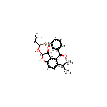 CCC(Br)OC1Oc2ccc(C(C)C)c(C(=O)c3ccccc3)c2C1=O